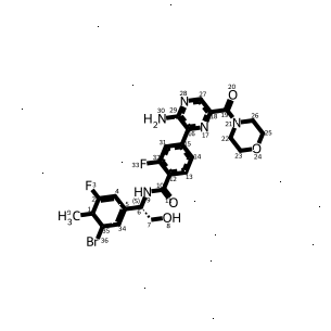 CC1C(F)=CC([C@@H](CO)NC(=O)c2ccc(-c3nc(C(=O)N4CCOCC4)cnc3N)cc2F)=CC1Br